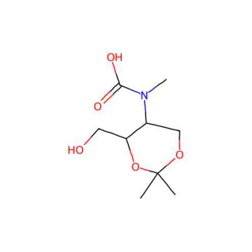 CN(C(=O)O)C1COC(C)(C)OC1CO